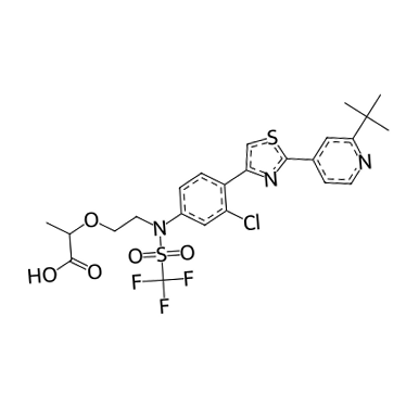 CC(OCCN(c1ccc(-c2csc(-c3ccnc(C(C)(C)C)c3)n2)c(Cl)c1)S(=O)(=O)C(F)(F)F)C(=O)O